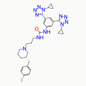 O=C(NCCCN1CCC[C@@H](Cc2ccc(F)cc2)C1)Nc1cc(-c2nnnn2C2CC2)cc(-c2nnnn2C2CC2)c1